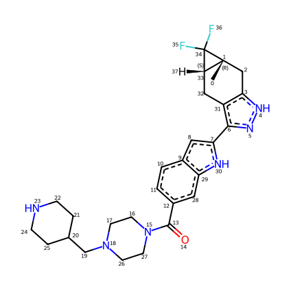 C[C@@]12Cc3[nH]nc(-c4cc5ccc(C(=O)N6CCN(CC7CCNCC7)CC6)cc5[nH]4)c3C[C@@H]1C2(F)F